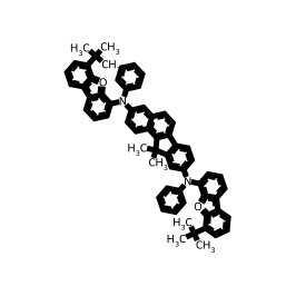 CC(C)(C)c1cccc2c1oc1c(N(c3ccccc3)c3ccc4c(c3)C(C)(C)c3c-4ccc4cc(N(c5ccccc5)c5cccc6c5oc5c(C(C)(C)C)cccc56)ccc34)cccc12